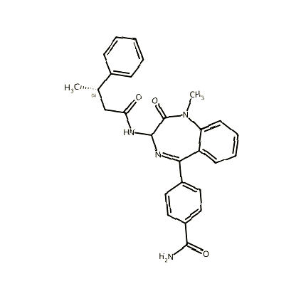 C[C@@H](CC(=O)NC1N=C(c2ccc(C(N)=O)cc2)c2ccccc2N(C)C1=O)c1ccccc1